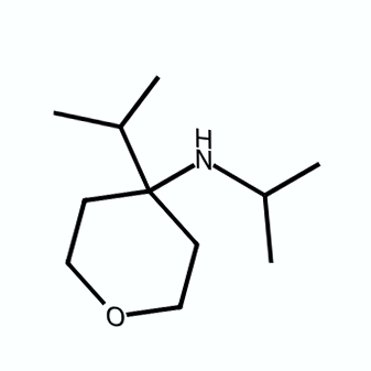 CC(C)NC1(C(C)C)CCOCC1